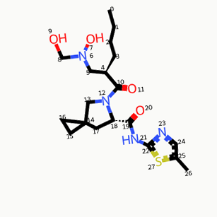 CCCC[C@H](CN(O)CO)C(=O)N1CC2(CC2)C[C@H]1C(=O)Nc1ncc(C)s1